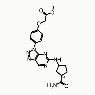 COC(=O)COc1ccc(-n2nnc3cnc(NC4CC[C@@H](C(N)=O)C4)nc32)cc1